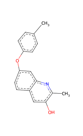 Cc1ccc(Oc2ccc3cc(O)c(C)nc3c2)cc1